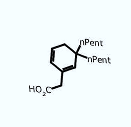 CCCCCC1(CCCCC)C=C(CC(=O)O)C=CC1